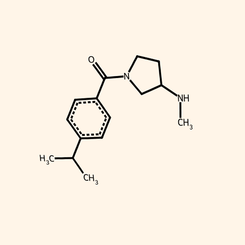 CNC1CCN(C(=O)c2ccc(C(C)C)cc2)C1